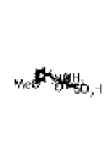 COc1cccc(CCNC(=O)[C@@H](N)CCC(=O)O)c1